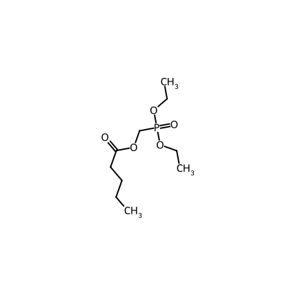 CCCCC(=O)OCP(=O)(OCC)OCC